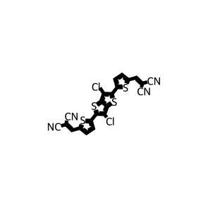 N#CC(C#N)=Cc1ccc(-c2sc3c(Cl)c(-c4ccc(C=C(C#N)C#N)s4)sc3c2Cl)s1